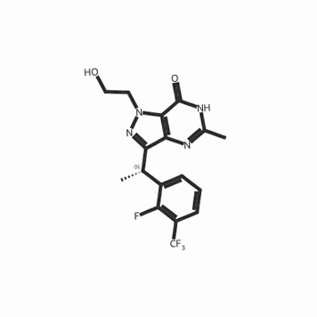 Cc1nc2c([C@@H](C)c3cccc(C(F)(F)F)c3F)nn(CCO)c2c(=O)[nH]1